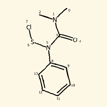 CN(C)C(=O)N(SCl)c1ccccc1